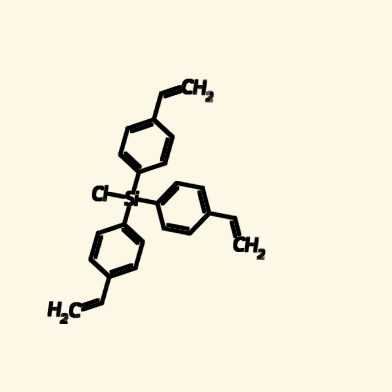 C=Cc1ccc([Si](Cl)(c2ccc(C=C)cc2)c2ccc(C=C)cc2)cc1